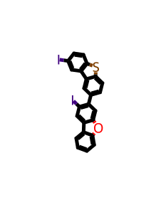 Ic1ccc2sc3ccc(-c4cc5oc6ccccc6c5cc4I)cc3c2c1